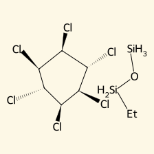 CC[SiH2]O[SiH3].Cl[C@H]1[C@H](Cl)[C@@H](Cl)[C@@H](Cl)[C@H](Cl)[C@H]1Cl